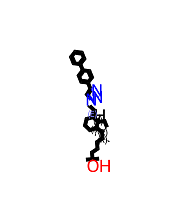 C[C@H](CCCC(C)(C)O)[C@H]1CC[C@H]2/C(=C/Cn3cc(-c4ccc(-c5ccccc5)cc4)nn3)CCC[C@]12C